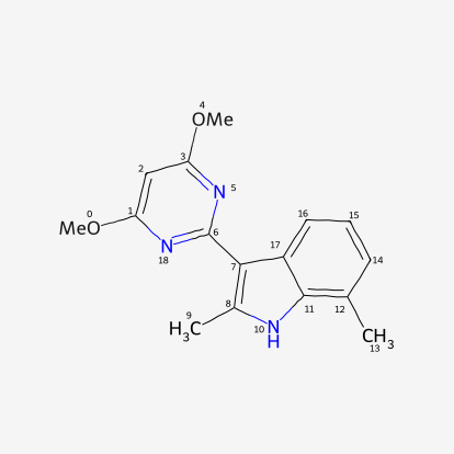 COc1cc(OC)nc(-c2c(C)[nH]c3c(C)cccc23)n1